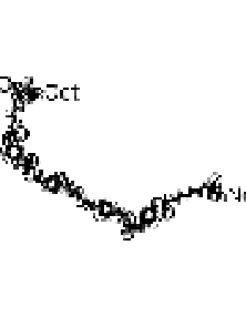 CCCCCCCCCOC(=O)CCCCCCCC(=O)OC1=C=C=C(CC(=O)OCCC2CCN(CCSSCCN3CCC(CCOC(=O)CC4=CC=C(OC(=O)CCCCCC(=O)OC(CCCCCCCC)CCCCCCCC)CC4)CC3)CC2)C=C1